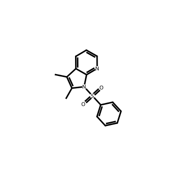 Cc1c(C)n(S(=O)(=O)c2ccccc2)c2ncccc12